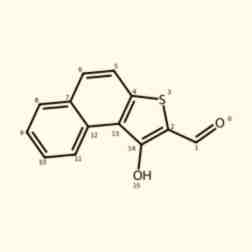 O=Cc1sc2ccc3ccccc3c2c1O